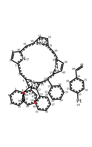 C1=Cc2cc3c(-c4ccccc4)c(-c4ccccc4)c(c(-c4ccccc4)c4nc(cc5ccc(cc1n2)[nH]5)C=C4)n3-c1ccccc1.C=Cc1cc[c]([Pt])cc1